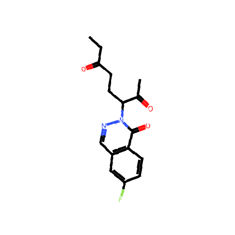 CCC(=O)CCC(C(C)=O)n1ncc2cc(F)ccc2c1=O